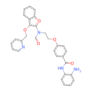 Nc1ccccc1NC(=O)c1ccc(OCCN(C=O)c2oc3ccccc3c2OCc2ccccn2)cc1